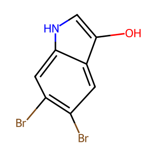 Oc1c[nH]c2cc(Br)c(Br)cc12